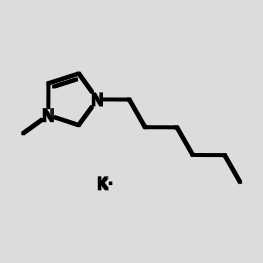 CCCCCCN1C=CN(C)C1.[K]